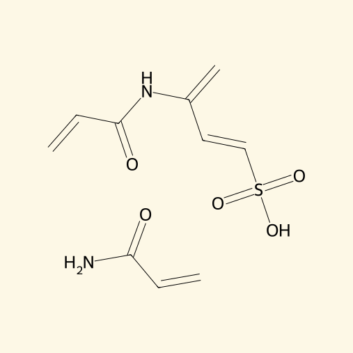 C=CC(=O)NC(=C)C=CS(=O)(=O)O.C=CC(N)=O